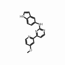 COc1ccnc(-c2ccnc(Nc3ccc4[nH]ccc4c3)n2)c1